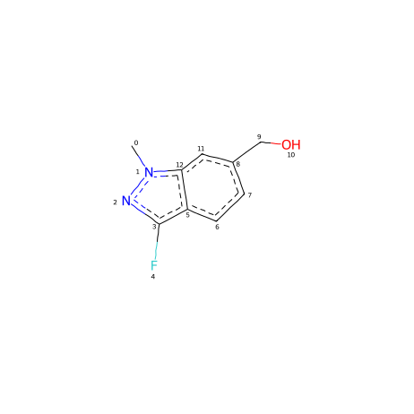 Cn1nc(F)c2ccc(CO)cc21